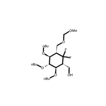 CCCCO[C@@H]1[C@@H](OCCCC)[C@H](COCOC)C(F)(F)[C@H](CO)[C@H]1OCCCC